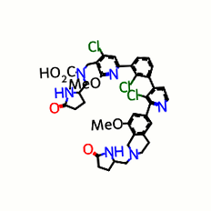 COc1cc(-c2nccc(-c3cccc(-c4cc(Cl)c(CN(CC5CCC(=O)N5)C(=O)O)c(OC)n4)c3Cl)c2Cl)cc2c1CN(CC1CCC(=O)N1)CC2